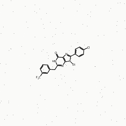 CCn1c(-c2ccc(Cl)cc2)nc2c(=O)[nH]c(Cc3cccc(C(F)(F)F)c3)nc21